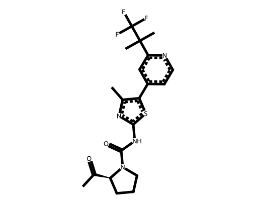 CC(=O)[C@@H]1CCCN1C(=O)Nc1nc(C)c(-c2ccnc(C(C)(C)C(F)(F)F)c2)s1